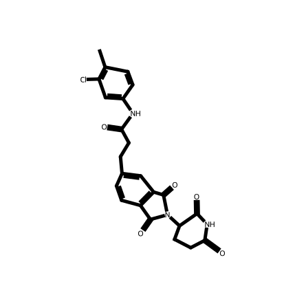 Cc1ccc(NC(=O)CCc2ccc3c(c2)C(=O)N(C2CCC(=O)NC2=O)C3=O)cc1Cl